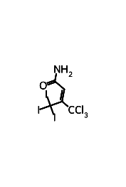 NC(=O)C=C(C(Cl)(Cl)Cl)C(I)(I)I